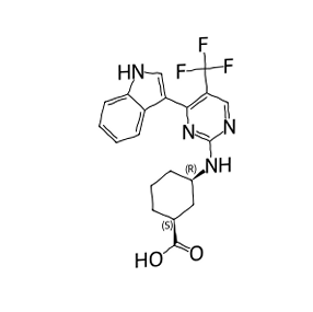 O=C(O)[C@H]1CCC[C@@H](Nc2ncc(C(F)(F)F)c(-c3c[nH]c4ccccc34)n2)C1